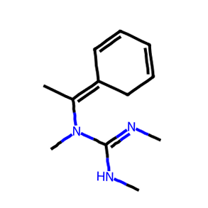 CN=C(NC)N(C)C(C)=C1C=CC=CC1